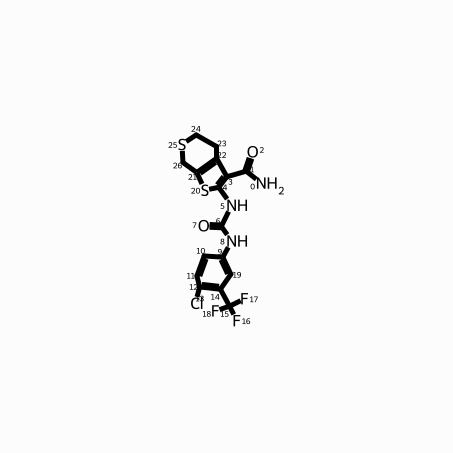 NC(=O)c1c(NC(=O)Nc2ccc(Cl)c(C(F)(F)F)c2)sc2c1CCSC2